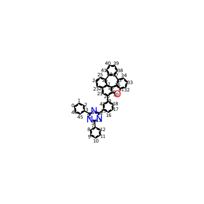 c1ccc(-c2nc(-c3ccccc3)nc(-c3cccc(-c4cc5cccc6c5c5c4oc4cccc(c45)-c4ccccc4-6)c3)n2)cc1